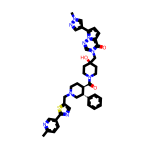 Cc1ccc(-c2ncc(CN3CC[C@@H](C(=O)N4CCC(O)(Cn5cnn6c(-c7cnn(C)c7)ccc6c5=O)CC4)[C@H](c4ccccc4)C3)s2)cn1